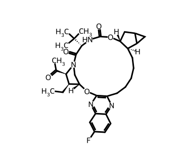 CC[C@@H]1[C@@H]2CN(C(=O)[C@H](C(C)(C)C)NC(=O)O[C@@H]3CC4CC4[C@H]3CCCCCc3nc4ccc(F)cc4nc3O2)[C@@H]1C(C)=O